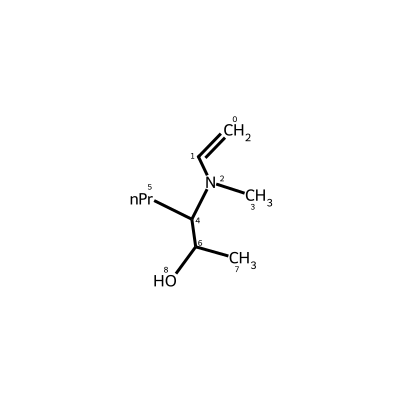 C=CN(C)C(CCC)C(C)O